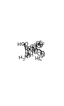 C#CCN1CCC(=CC2=C(C(=O)OC(=O)C(F)(F)F)N3C(=O)[C@@H](NC(=O)/C(=N\OCC(=O)O)c4csc(N)n4)[C@H]3SC2)C1=O